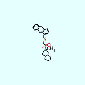 CC1(OC(=O)CSCc2cccc3cc4ccccc4cc23)CCC2CCCCC2C1